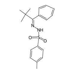 Cc1ccc(S(=O)(=O)NN=C(c2ccccc2)C(C)(C)C)cc1